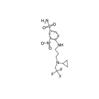 NS(=O)(=O)c1ccc(NCCCN(CC(F)(F)F)C2CC2)c([N+](=O)[O-])c1